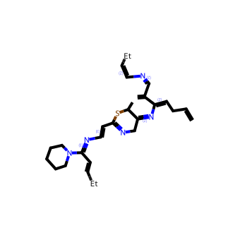 C=CC/C=C(\N=C1\CN=C(/C=C/N=C(\C=CCC)N2CCCCC2)SC1C)C(=C)/C=N\C=C/CC